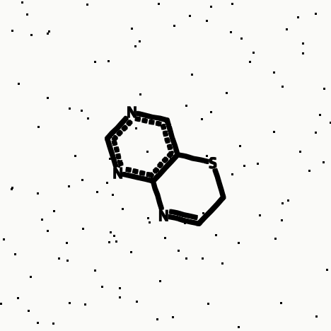 C1=Nc2ncncc2SC1